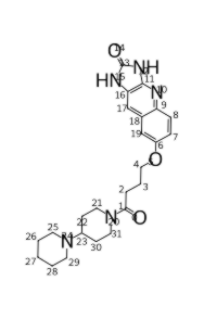 O=C(CCCOc1ccc2nc3[nH]c(=O)[nH]c3cc2c1)N1CCC(N2CCCCC2)CC1